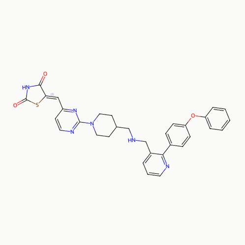 O=C1NC(=O)/C(=C/c2ccnc(N3CCC(CNCc4cccnc4-c4ccc(Oc5ccccc5)cc4)CC3)n2)S1